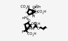 C=CCOC(=O)NC1(C(=O)O)C(OCCC)CC2C1C2(F)C(=O)O.CCCO[C@]12[C@H](CC[C@H]1C(=O)O)[C@H]2C(=O)O